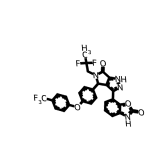 CC(F)(F)CN1C(=O)c2[nH]nc(-c3cccc4[nH]c(=O)oc34)c2C1c1ccc(Oc2ccc(C(F)(F)F)cc2)cc1